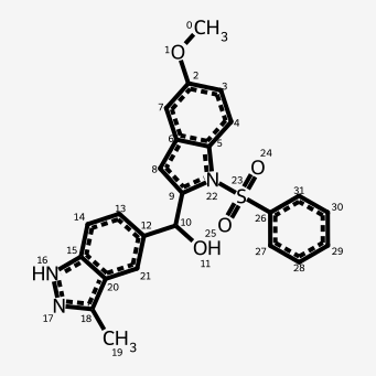 COc1ccc2c(c1)cc(C(O)c1ccc3[nH]nc(C)c3c1)n2S(=O)(=O)c1ccccc1